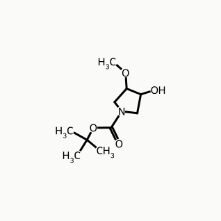 COC1CN(C(=O)OC(C)(C)C)CC1O